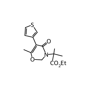 CCOC(=O)C(C)(C)N1COC(C)=C(c2ccsc2)C1=O